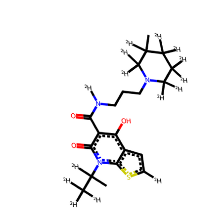 [2H]c1cc2c(O)c(C(=O)N([2H])CCCN3C([2H])([2H])C([2H])([2H])C([2H])([2H])C([2H])(C)C3([2H])[2H])c(=O)n(C([2H])(C)C([2H])([2H])[2H])c2s1